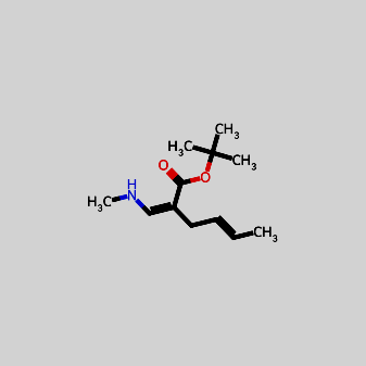 CC=CC/C(=C/NC)C(=O)OC(C)(C)C